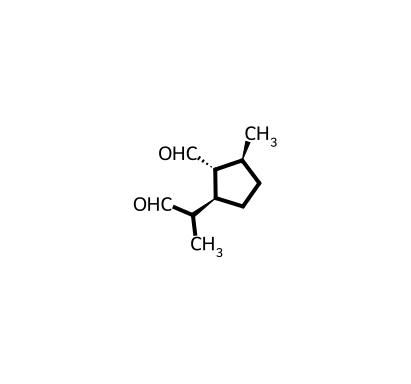 CC(C=O)[C@@H]1CC[C@H](C)[C@H]1C=O